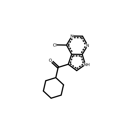 O=C(c1c[nH]c2ncnc(Cl)c12)C1CCCCC1